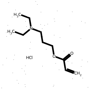 C=CC(=O)OCCCN(CC)CC.Cl